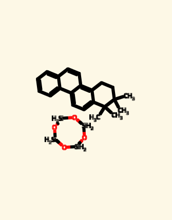 CC1(C)CCc2c(ccc3c2ccc2ccccc23)C1(C)C.O1[SiH2]O[SiH2]O[SiH2]O[SiH2]1